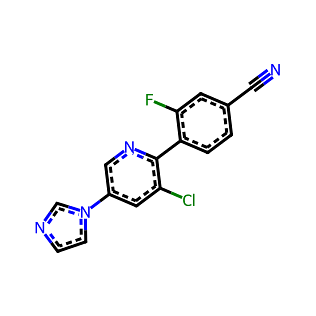 N#Cc1ccc(-c2ncc(-n3ccnc3)cc2Cl)c(F)c1